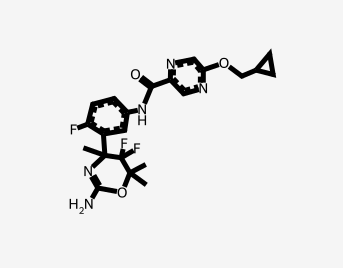 CC1(C)OC(N)=NC(C)(c2cc(NC(=O)c3cnc(OCC4CC4)cn3)ccc2F)C1(F)F